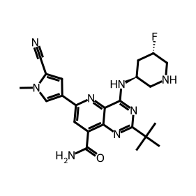 Cn1cc(-c2cc(C(N)=O)c3nc(C(C)(C)C)nc(N[C@@H]4CNC[C@@H](F)C4)c3n2)cc1C#N